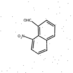 O=Cc1cccc2cccc([N+](=O)[O-])c12